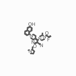 C=C(F)C(=O)N1CCN(c2c(C#N)c(OCC3CCCN3C)nc3c2CCN(c2cccc4cc(O)ccc24)C3)CC1C